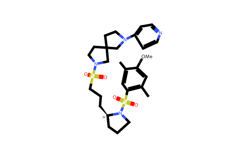 COc1cc(C)c(S(=O)(=O)N2CCC[C@H]2CCCS(=O)(=O)N2CCC3(CCN(c4ccncc4)C3)C2)cc1C